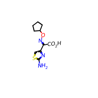 Nc1nc(/C(=N/OC2CCCC2)C(=O)O)cs1